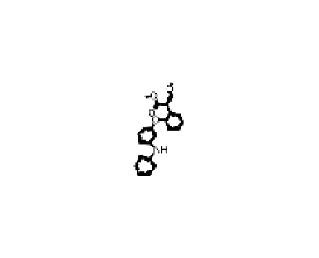 COC=C(C(=O)OC)c1ccccc1Oc1cccc(Nc2ccccc2)c1